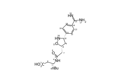 CCCC[C@H](CC(=O)O)NC(=O)C[C@H]1C[C@@H](c2ccc(C(=N)N)cc2)NO1